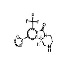 O=C1c2c(cc(-c3ccco3)cc2C(F)(F)F)[C@@H]2CNCCN12